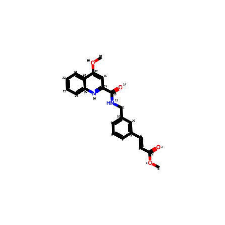 COC(=O)/C=C/c1cccc(CNC(=O)c2cc(OC)c3ccccc3n2)c1